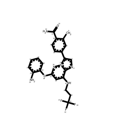 Cc1cc(-c2cnc3c(NCCC(F)(F)F)cc(Oc4ccccc4N)nn23)ccc1C(N)=O